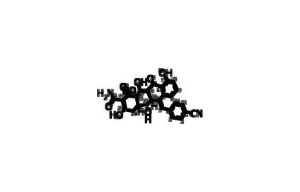 N#Cc1ccc(/C=C2\c3cccc(O)c3C(=O)C3=C(O)[C@]4(O)C(=O)C(C(N)=O)=C(O)C[C@@H]4[C@@H](O)[C@@H]32)cc1